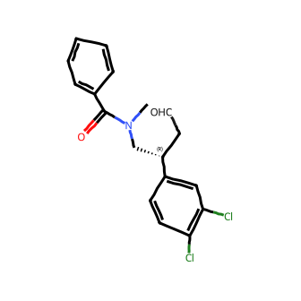 CN(C[C@H](CC=O)c1ccc(Cl)c(Cl)c1)C(=O)c1ccccc1